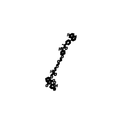 C[C@@H](C(=O)Nc1ccc(OCCOCCOCCNC(=O)COc2cccc3c2C(=O)N(C2CCC(=O)NC2=O)C3=O)cc1)[C@H]1CC[C@@H](c2ccnc3ccc(F)cc32)CC1